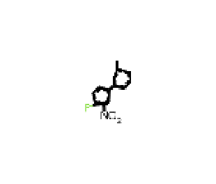 Cc1cccc(-c2ccc(F)c([N+](=O)[O-])c2)c1